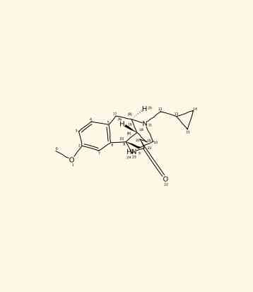 COc1ccc2c(c1)[C@]13CCN(CC4CC4)[C@H](C2)[C@@H]1CCC(=O)NC3